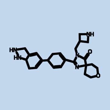 O=C1N(CC2CNC2)C(C2=CCC(C3=CCC4NNCC4=C3)C=C2)=NC12CCOCC2